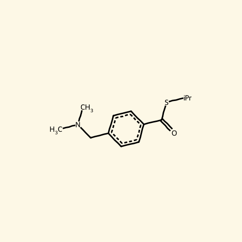 CC(C)SC(=O)c1ccc(CN(C)C)cc1